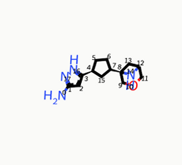 Nc1cc([C@H]2CCC([C@@]34COCC(C3)N4)C2)[nH]n1